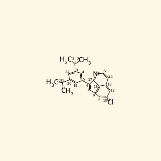 CC(C)c1cc(C2=Cc3cc(Cl)cc4ccnc2c34)cc(C(C)C)c1